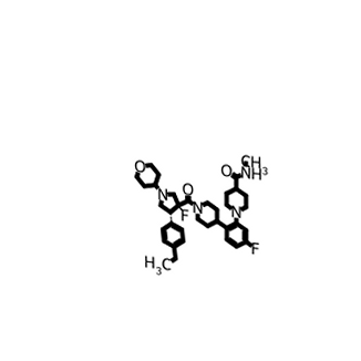 CCc1ccc([C@@H]2CN(C3CCOCC3)C[C@@]2(F)C(=O)N2CCC(c3ccc(F)cc3N3CCC(C(=O)NC)CC3)CC2)cc1